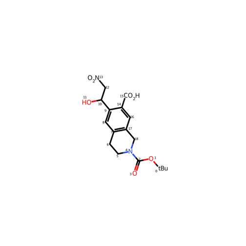 CC(C)(C)OC(=O)N1CCc2cc(C(O)C[N+](=O)[O-])c(C(=O)O)cc2C1